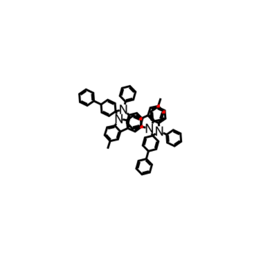 Cc1ccc2c(c1)c1cc3c(cc1n2C1(N(c2ccccc2)c2ccccc2)C=CC(c2ccccc2)C=C1)c1cc(C)ccc1n3C1(N(c2ccccc2)c2ccccc2)C=CC(c2ccccc2)C=C1